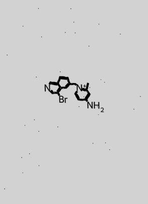 Cc1cc(N)cc[n+]1Cc1ccc2cncc(Br)c2c1